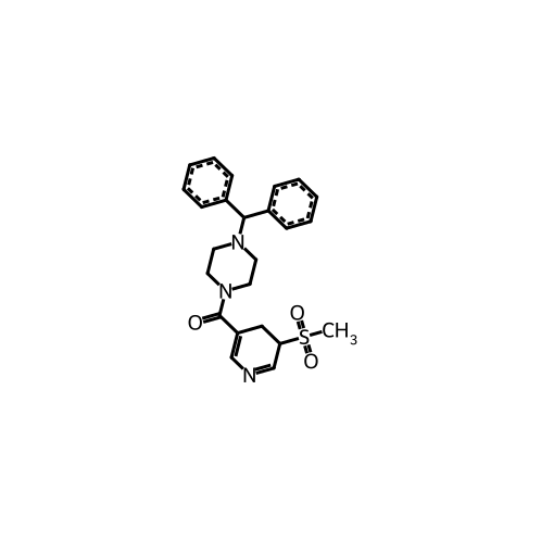 CS(=O)(=O)C1C=NC=C(C(=O)N2CCN(C(c3ccccc3)c3ccccc3)CC2)C1